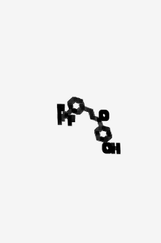 O=C(C=Cc1cccc(C(F)(F)F)c1)c1ccc(O)cc1